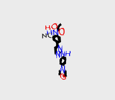 CC(O)C(=O)Nc1ccc(-c2ccnc(Nc3ccc(N4CCOCC4)cc3)n2)cc1C#N